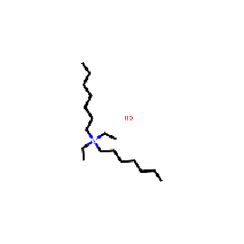 CCCCCCC[N+](CC)(CC)CCCCCCC.[OH-]